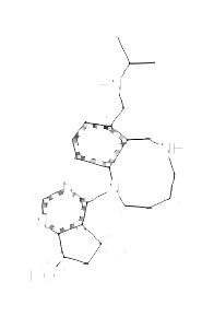 CC(C)NCc1cccc2c1CNCCCCN2c1ncnc2c1[C@H](C)C[C@H]2O